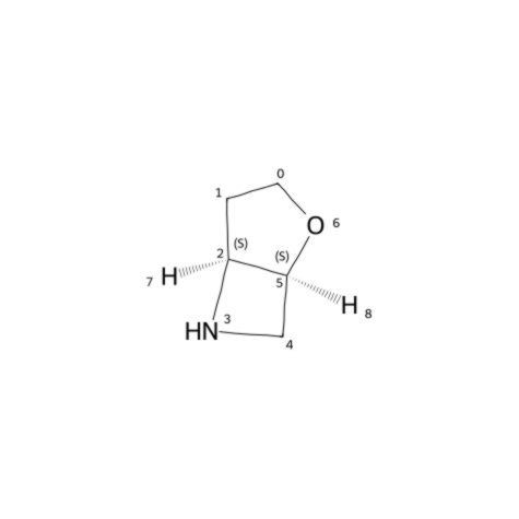 C1C[C@@H]2NC[C@@H]2O1